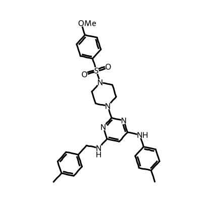 COc1ccc(S(=O)(=O)N2CCN(c3nc(NCc4ccc(C)cc4)cc(Nc4ccc(C)cc4)n3)CC2)cc1